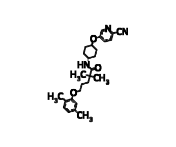 Cc1ccc(C)c(OCCCC(C)(C)C(=O)N[C@H]2CC[C@H](Oc3ccc(C#N)nc3)CC2)c1